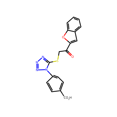 O=C(O)c1ccc(-n2nnnc2SCC(=O)c2cc3ccccc3o2)cc1